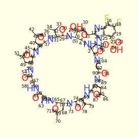 CC[C@@H]1NC(=O)[C@H]([C@H](O)[C@H](C)Cc2nc3c(F)c(F)cc(S(=O)(=O)O)c3[nH]2)N(C)C(=O)[C@H](C(C)C)N(C)C(=O)[C@H](CC(C)C)N(C)C(=O)[C@H](CC(C)C)N(C)C(=O)[C@@H](C)NC(=O)[C@H](C)NC(=O)[C@H](CC(C)C)N(C)C(=O)[C@H](C(C)C)NC(=O)[C@H](CC(C)C)N(C)C(=O)CN(C)C1=O